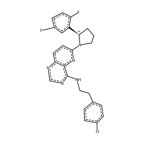 Fc1ccc(F)c([C@H]2CCCN2c2ccc3ncnc(NCCc4ccc(Cl)cc4)c3n2)c1